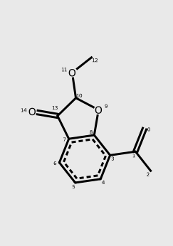 C=C(C)c1cccc2c1OC(OC)C2=O